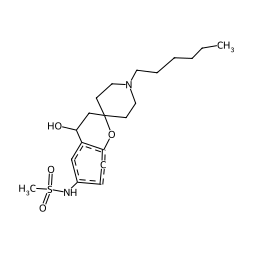 CCCCCCN1CCC2(CC1)CC(O)c1cc(NS(C)(=O)=O)ccc1O2